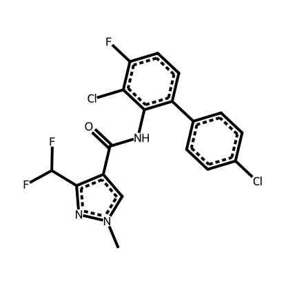 Cn1cc(C(=O)Nc2c(-c3ccc(Cl)cc3)ccc(F)c2Cl)c(C(F)F)n1